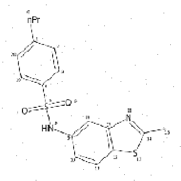 CCCc1ccc(S(=O)(=O)Nc2ccc3sc(C)nc3c2)cc1